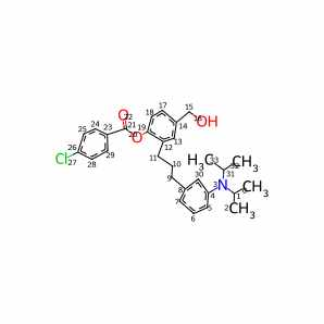 CC(C)N(c1cccc(CCCc2cc(CO)ccc2OC(=O)c2ccc(Cl)cc2)c1)C(C)C